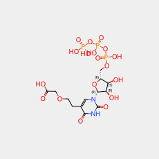 O=C(O)COCCc1cn([C@@H]2O[C@H](COP(=O)(O)OP(=O)(O)OP(=O)(O)O)[C@@H](O)[C@H]2O)c(=O)[nH]c1=O